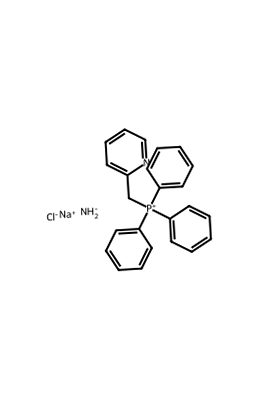 [Cl-].[NH2-].[Na+].c1ccc([P+](Cc2ccccn2)(c2ccccc2)c2ccccc2)cc1